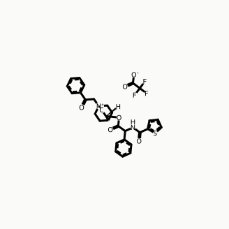 O=C(C[N+]12CCC(CC1)[C@@H](OC(=O)C(NC(=O)c1cccs1)c1ccccc1)C2)c1ccccc1.O=C([O-])C(F)(F)F